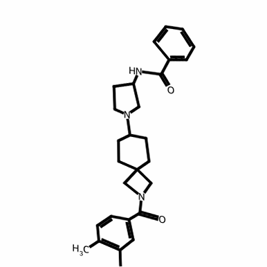 Cc1ccc(C(=O)N2CC3(CCC(N4CCC(NC(=O)c5ccccc5)C4)CC3)C2)cc1O